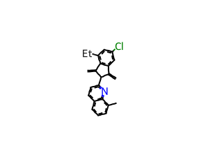 C=C1c2cc(Cl)cc(CC)c2C(=C)C1c1ccc2cccc(C)c2n1